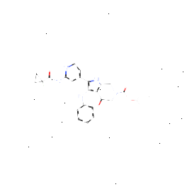 CC(C)OC(=O)N1CC(=O)c2c([nH]c(-c3ccnc(NC(=O)C4(F)CC4)c3)c2Nc2ccccc2)C1